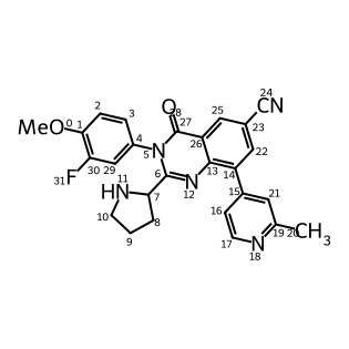 COc1ccc(-n2c(C3CCCN3)nc3c(-c4ccnc(C)c4)cc(C#N)cc3c2=O)cc1F